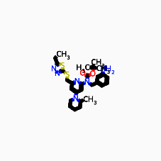 CCc1nnc(SCc2cc(N3CCCCC3C)cc(N(Cc3cccc(N)c3)C(=O)OC(C)(C)C)n2)s1